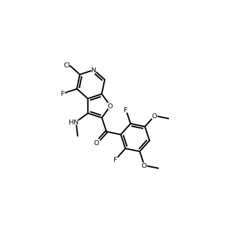 CNc1c(C(=O)c2c(F)c(OC)cc(OC)c2F)oc2cnc(Cl)c(F)c12